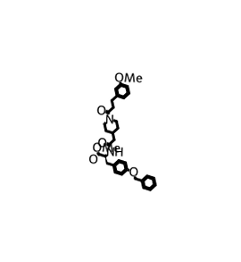 COC(=O)[C@H](Cc1ccc(OCc2ccccc2)cc1)NC(=O)CC1CCN(C(=O)CCc2cccc(OC)c2)CC1